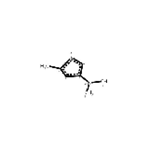 Cc1cc(N(C)C)cs1